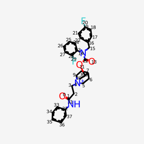 O=C(CC[N+]12CCC(CC1)C(OC(=O)N(Cc1ccc(F)cc1)c1ccccc1F)C2)Nc1ccccc1